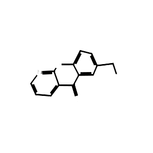 O=c1c2cc(CBr)ccc2oc2ncccc12